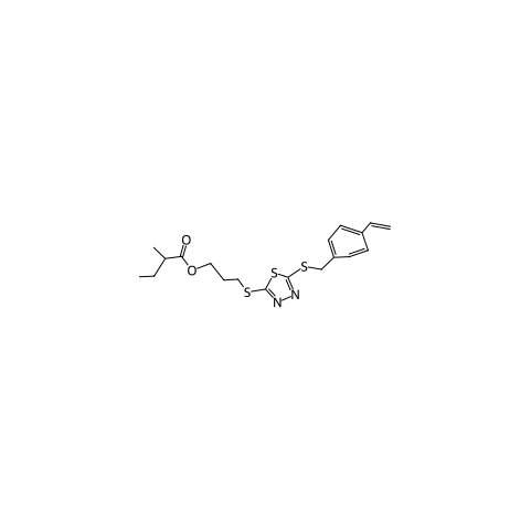 C=Cc1ccc(CSc2nnc(SCCCOC(=O)C(C)CC)s2)cc1